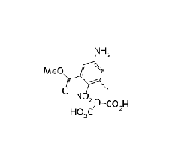 COC(=O)c1cc(N)cc(C)c1[N+](=O)[O-].O=C(O)OC(=O)O